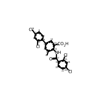 Cc1cc(-c2ccc(Cl)cc2Cl)cc(C(=O)O)c1NC(=O)c1ccc(Cl)cc1Cl